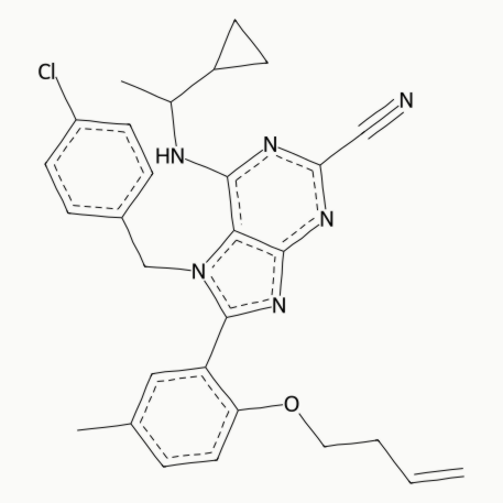 C=CCCOc1ccc(C)cc1-c1nc2nc(C#N)nc(NC(C)C3CC3)c2n1Cc1ccc(Cl)cc1